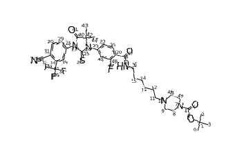 CC(C)(C)OC(=O)N1CCN(CCCCCCNC(=O)c2ccc(N3C(=S)N(c4ccc(C#N)c(C(F)(F)F)c4)C(=O)C3(C)C)cc2F)CC1